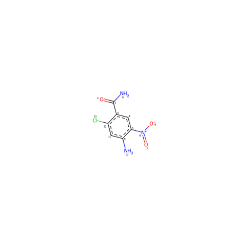 NC(=O)c1cc([N+](=O)[O-])c(N)cc1Cl